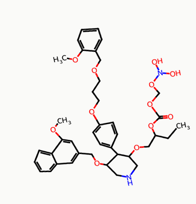 CCC(COC1CNCC(OCc2cc(OC)c3ccccc3c2)C1c1ccc(OCCCOCc2ccccc2OC)cc1)OC(=O)OCON(O)O